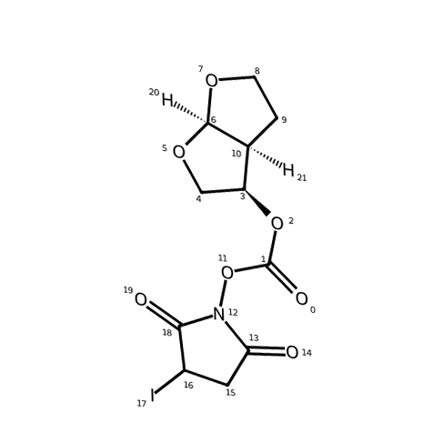 O=C(O[C@H]1CO[C@H]2OCC[C@H]21)ON1C(=O)CC(I)C1=O